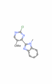 COc1cnc(Cl)nc1-c1nc2ccccc2n1C